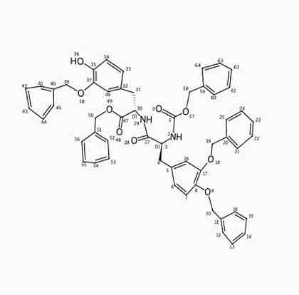 O=C(N[C@@H](Cc1ccc(OCc2ccccc2)c(OCc2ccccc2)c1)C(=O)N[C@@H](Cc1ccc(O)c(OCc2ccccc2)c1)C(=O)OCc1ccccc1)OCc1ccccc1